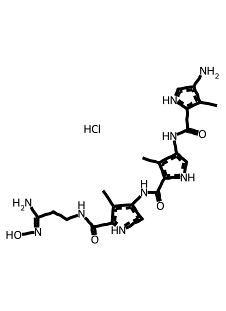 Cc1c(N)c[nH]c1C(=O)Nc1c[nH]c(C(=O)Nc2c[nH]c(C(=O)NCCC(N)=NO)c2C)c1C.Cl